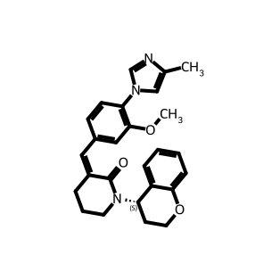 COc1cc(C=C2CCCN([C@H]3CCOc4ccccc43)C2=O)ccc1-n1cnc(C)c1